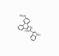 CNc1ccc2c(c1)c1ccccc1c1[nH]c(-c3c[nH]c4ccccc34)nc21